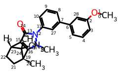 COc1cccc(-c2cccc(-n3c(=O)c4c(n3C)[C@]3(C)CC[C@H]4C3(C)C)c2)c1